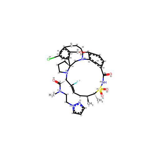 C[C@@H]1[C@@H](C)C/C=C(\F)[C@H](C(=O)N(C)CCn2cccn2)N2CCC[C@@]23CN2CCCCc4cc(Cl)cc3c4COc3ccc(cc32)C(=O)NS1(=O)=O